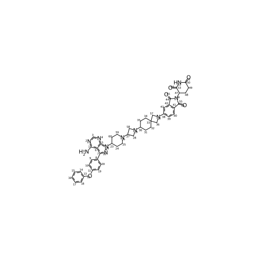 Nc1ncnc2c1c(-c1ccc(Oc3ccccc3)cc1)nn2C1CCN(C2CN(C3CCC4(CC3)CN(c3ccc5c(c3)C(=O)N(C3CCC(=O)NC3=O)C5=O)C4)C2)CC1